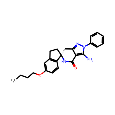 Nc1c2c(nn1-c1ccccc1)C[C@]1(CCc3cc(OCCCC(F)(F)F)ccc31)NC2=O